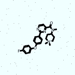 CN(C(=O)c1ccnc(-c2ccc(Oc3ccc(F)cc3)cc2)n1)C1CC[N+](C)(C)CC1